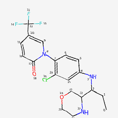 CCC(Nc1ccc(-n2cc(C(F)(F)F)ccc2=O)c(Cl)c1)C1COCCN1